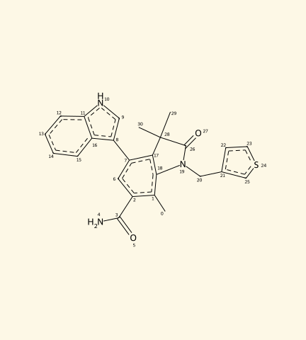 Cc1c(C(N)=O)cc(-c2c[nH]c3ccccc23)c2c1N(Cc1ccsc1)C(=O)C2(C)C